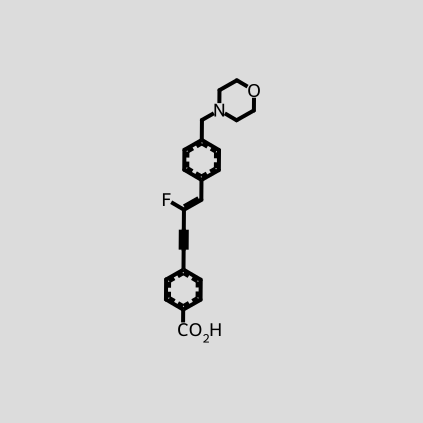 O=C(O)c1ccc(C#CC(F)=Cc2ccc(CN3CCOCC3)cc2)cc1